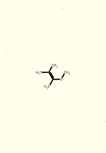 COC(C)=C(C)C